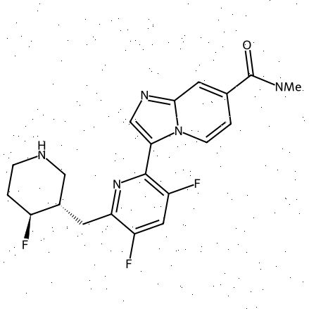 CNC(=O)c1ccn2c(-c3nc(C[C@H]4CNCC[C@@H]4F)c(F)cc3F)cnc2c1